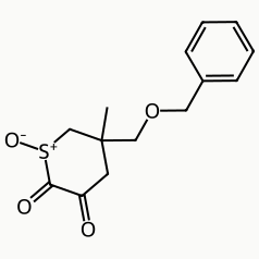 CC1(COCc2ccccc2)CC(=O)C(=O)[S+]([O-])C1